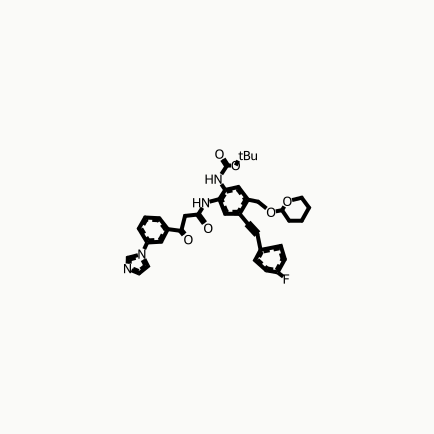 CC(C)(C)OC(=O)Nc1cc(COC2CCCCO2)c(C#Cc2ccc(F)cc2)cc1NC(=O)CC(=O)c1cccc(-n2ccnc2)c1